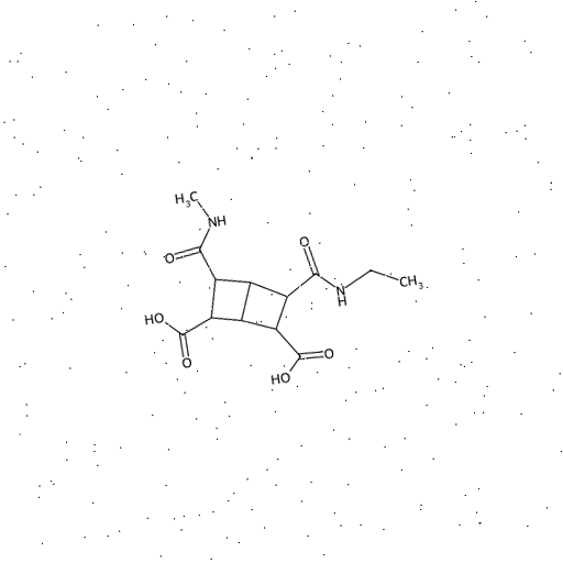 CCNC(=O)C1C(C(=O)O)C2C(C(=O)O)C(C(=O)NC)C12